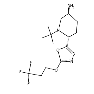 CC(C)(C)N1C[C@@H](N)CC[C@@H]1c1nnc(OCCC(F)(F)F)o1